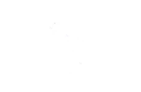 Cc1cc(C)c(CN2CCCc3sc(C(C)C4CCN(CC5(C)CC5)CC4)c(C)c3C2=O)c(=O)[nH]1